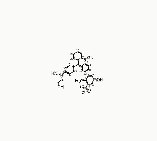 CN(CCO)c1ccc(-c2c3ccccc3[n+](C)c3ccccc23)cc1.Cc1ccc(O)cc1S(=O)(=O)[O-]